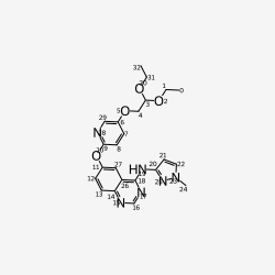 CCOC(COc1ccc(Oc2ccc3ncnc(Nc4ccn(C)n4)c3c2)nc1)OCC